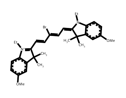 CCN1/C(=C/C=C(Br)/C=C/C2=[N+](CC)c3ccc(OC)cc3C2(C)C)C(C)(C)c2cc(OC)ccc21